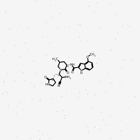 COc1cccc2[nH]c(C(=O)N[C@H]3CC(C)CN([C@@H](C[C@@H]4CCNC4=O)C(N)C#N)C3=O)cc12